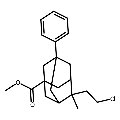 COC(=O)C12CC3CC(c4ccccc4)(CC(C1)C3(C)CCCl)C2